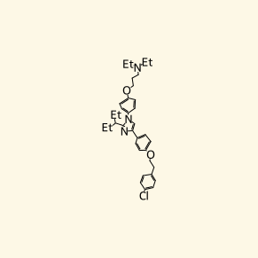 CCC(CC)c1nc(-c2ccc(OCCc3ccc(Cl)cc3)cc2)cn1-c1ccc(OCCCN(CC)CC)cc1